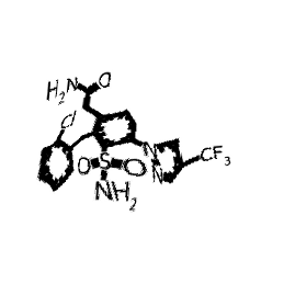 NC(=O)Cc1ccc(-n2cc(C(F)(F)F)cn2)c(S(N)(=O)=O)c1-c1ccccc1Cl